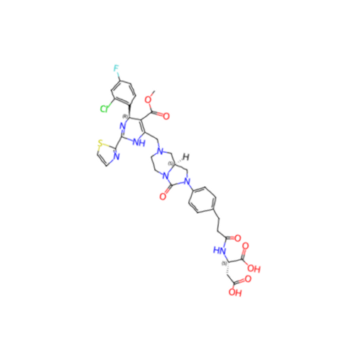 COC(=O)C1=C(CN2CCN3C(=O)N(c4ccc(CCC(=O)N[C@@H](CC(=O)O)C(=O)O)cc4)C[C@@H]3C2)NC(c2nccs2)=N[C@H]1c1ccc(F)cc1Cl